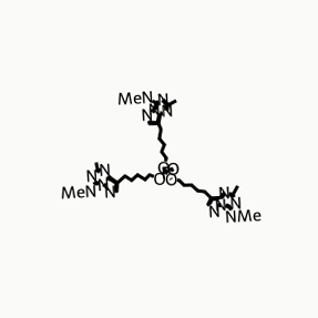 CNc1nc(C)nc2c(CCCCCOP(=O)(OCCCCCc3cnn4c(NC)nc(C)nc34)OCCCCCc3cnn4c(NC)nc(C)nc34)cnn12